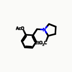 CCOC(=O)C1CCCN1Cc1ccccc1OC(C)=O